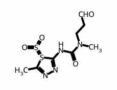 CC1=NN=C(NC(=O)N(C)CCC=O)S1=S(=O)=O